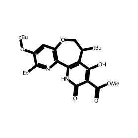 CCCCOc1cc2c(nc1CC)-c1[nH]c(=O)c(C(=O)OC)c(O)c1C(C(C)(C)C)CO2